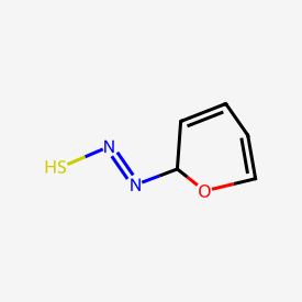 SN=NC1C=CC=CO1